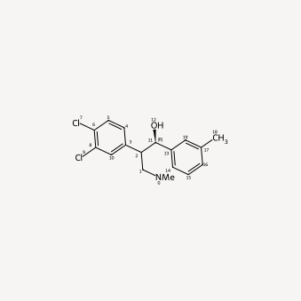 CNCC(c1ccc(Cl)c(Cl)c1)[C@@H](O)c1cccc(C)c1